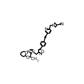 CC(OC1CCCCO1)c1nccn1Cc1cc(-c2ccc(C#Cc3ccc(CN4CC(C#N)C4)nc3)cc2)on1